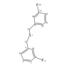 Fc1cccc(CSCc2cccc(F)c2)c1